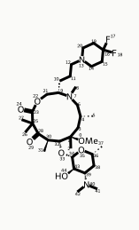 CO[C@]1(C)C[C@@H](C)CN(C)[C@@H](CCCN2CCC(F)(F)CC2)COC(=O)C(C)(C)C(=O)[C@H](C)[C@H]1O[C@@H]1O[C@H](C)C[C@H](N(C)C)[C@H]1O